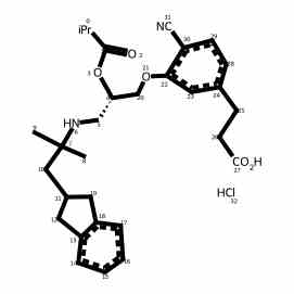 CC(C)C(=O)O[C@@H](CNC(C)(C)CC1Cc2ccccc2C1)COc1cc(CCC(=O)O)ccc1C#N.Cl